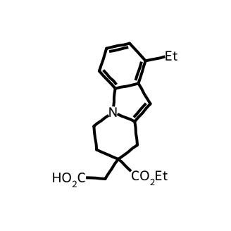 CCOC(=O)C1(CC(=O)O)CCn2c(cc3c(CC)cccc32)C1